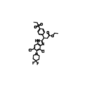 CCOC(=O)CC(c1ccc(S(=O)(=O)CC)cc1)c1nc2c(Cl)c(N3CCC(F)(F)CC3)c(Cl)cc2[nH]1